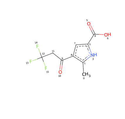 Cc1[nH]c(C(=O)O)cc1C(=O)CC(F)(F)F